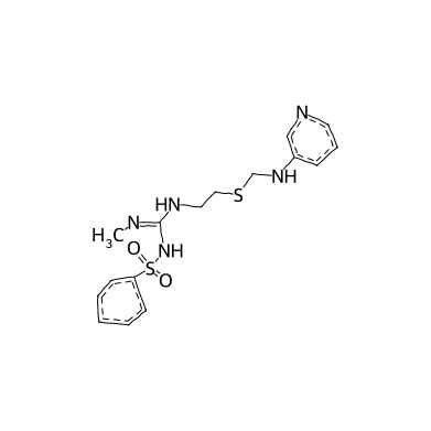 CN=C(NCCSCNc1cccnc1)NS(=O)(=O)c1ccccc1